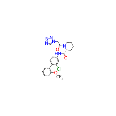 O=C(Nc1ccc(-c2ccccc2OC(F)(F)F)c(Cl)c1)[C@H]1CCCCN1C(=O)Cn1cnnn1